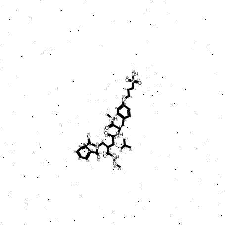 CNC(=O)[C@@H](Cc1ccc(OCCCS(=O)(=O)O)cc1)NC(=O)[C@H](CC(C)C)C(CN1C(=O)c2ccccc2C1=O)C(=O)NOC